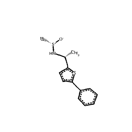 C[C@@H](N[S@@+]([O-])C(C)(C)C)c1ccc(-c2ccccc2)s1